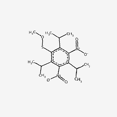 COSc1c(C(C)C)c([N+](=O)[O-])c(C(C)C)c([N+](=O)[O-])c1C(C)C